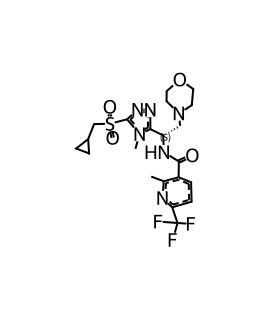 Cc1nc(C(F)(F)F)ccc1C(=O)N[C@@H](CN1CCOCC1)c1nnc(S(=O)(=O)CC2CC2)n1C